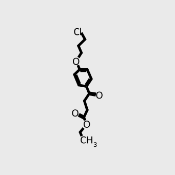 CCOC(=O)CCC(=O)c1ccc(OCCCCl)cc1